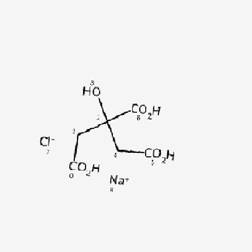 O=C(O)CC(O)(CC(=O)O)C(=O)O.[Cl-].[Na+]